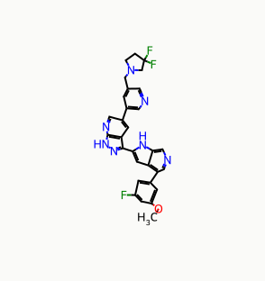 COc1cc(F)cc(-c2cncc3[nH]c(-c4n[nH]c5ncc(-c6cncc(CN7CCC(F)(F)C7)c6)cc45)cc23)c1